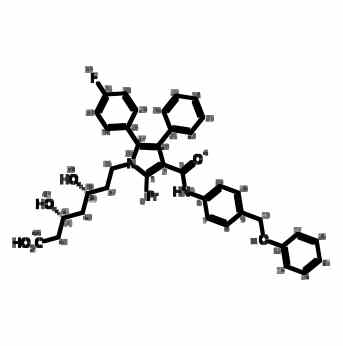 CC(C)c1c(C(=O)Nc2ccc(COc3ccccc3)cc2)c(-c2ccccc2)c(-c2ccc(F)cc2)n1CC[C@@H](O)C[C@@H](O)CC(=O)O